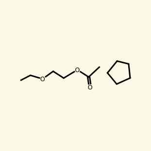 C1CCCC1.CCOCCOC(C)=O